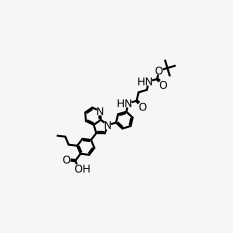 CCCc1cc(-c2cn(-c3cccc(NC(=O)CCNC(=O)OC(C)(C)C)c3)c3ncccc23)ccc1C(=O)O